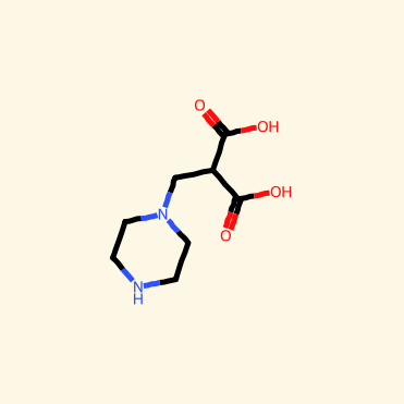 O=C(O)C(CN1CCNCC1)C(=O)O